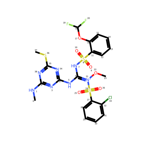 CNc1nc(NC(NS(=O)(=O)c2ccccc2OC(F)F)=[N+](OC)S(=O)(=O)c2ccccc2Cl)nc(SC)n1